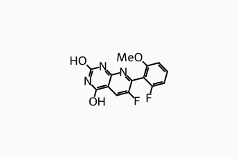 COc1cccc(F)c1-c1nc2nc(O)nc(O)c2cc1F